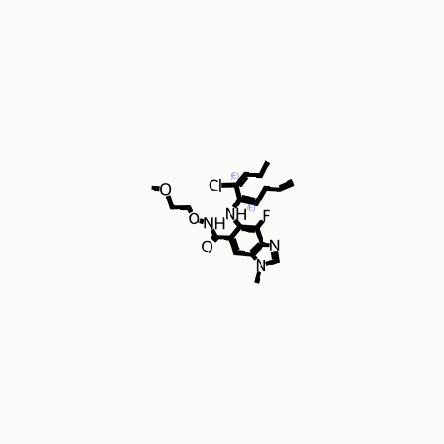 C=CC/C=C(Nc1c(C(=O)NOCCOC)cc2c(ncn2C)c1F)\C(Cl)=C/CC